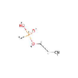 CP(=O)(O)OCCC#N